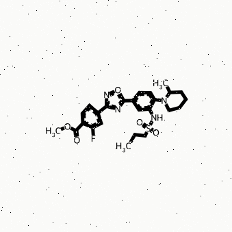 CCCS(=O)(=O)Nc1cc(-c2nc(-c3ccc(C(=O)OC)c(F)c3)no2)ccc1N1CCCCC1C